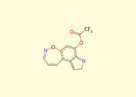 O=C(Oc1cc2c(c3c1=NCC=3)C=CC=NO2)C(F)(F)F